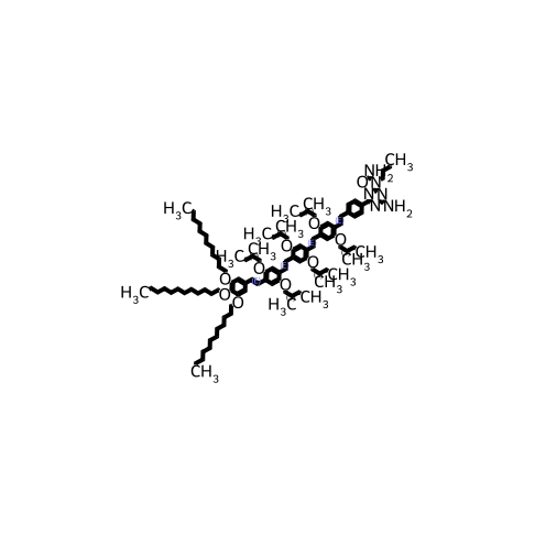 CCCCCCCCCCCCOc1cc(/C=C/c2cc(OC[C@@H](C)CC)c(/C=C/c3cc(OC[C@@H](C)CC)c(/C=C/c4cc(OC[C@@H](C)CC)c(/C=C/c5ccc(-c6nc(N)nc(N(CCCC)C(N)=O)n6)cc5)cc4OC[C@@H](C)CC)cc3OC[C@@H](C)CC)cc2OC[C@@H](C)CC)cc(OCCCCCCCCCCCC)c1OCCCCCCCCCCCC